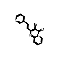 O=c1c(Br)c(C=Cc2cccnc2)nc2ccccn12